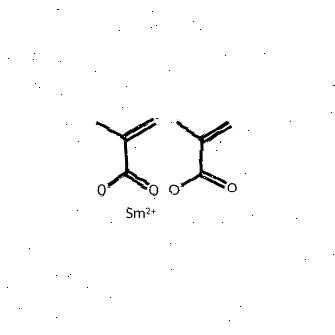 C=C(C)C(=O)[O-].C=C(C)C(=O)[O-].[Sm+2]